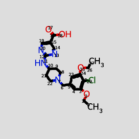 CCOc1cc(CN2CCC(Nc3ncc(C(=O)O)cn3)CC2)cc(OCC)c1Cl